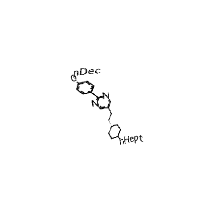 CCCCCCCCCCOc1ccc(-c2ncc(CC[C@H]3CC[C@H](CCCCCCC)CC3)cn2)cc1